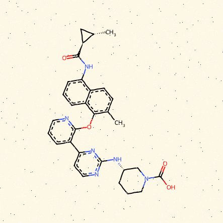 Cc1ccc2c(NC(=O)[C@H]3C[C@@H]3C)cccc2c1Oc1ncccc1-c1ccnc(N[C@H]2CCCN(C(=O)O)C2)n1